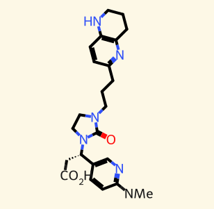 CNc1ccc([C@H](CC(=O)O)N2CCN(CCCc3ccc4c(n3)CCCN4)C2=O)cn1